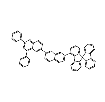 c1ccc(-c2cc(-c3ccccc3)c3cc(-c4ccc5ccc(-c6cccc7c6-c6ccccc6C76c7ccccc7-c7ccccc76)cc5c4)ccc3n2)cc1